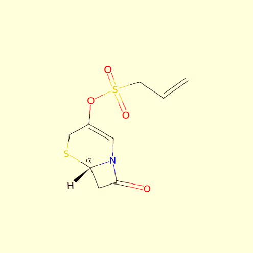 C=CCS(=O)(=O)OC1=CN2C(=O)C[C@@H]2SC1